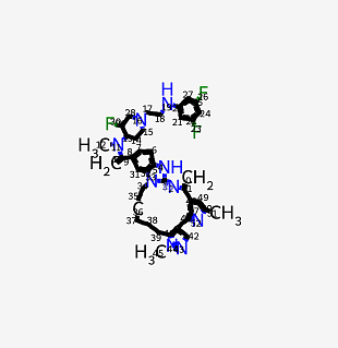 C=C1/N=C2\Nc3ccc(C(=C)N(C)C4CCN(CCNc5cc(F)cc(F)c5)CC4F)cc3N2CCCCCCc2c(cnn2C)-c2cc1cc(C)n2